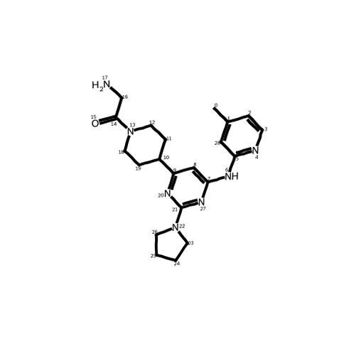 Cc1ccnc(Nc2cc(C3CCN(C(=O)CN)CC3)nc(N3CCCC3)n2)c1